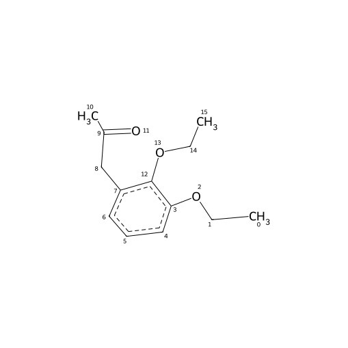 CCOc1cccc(CC(C)=O)c1OCC